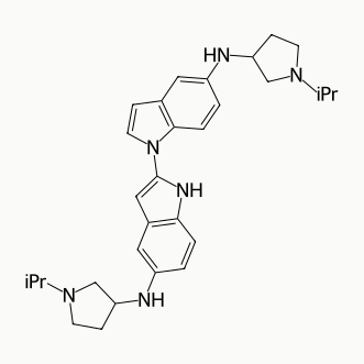 CC(C)N1CCC(Nc2ccc3[nH]c(-n4ccc5cc(NC6CCN(C(C)C)C6)ccc54)cc3c2)C1